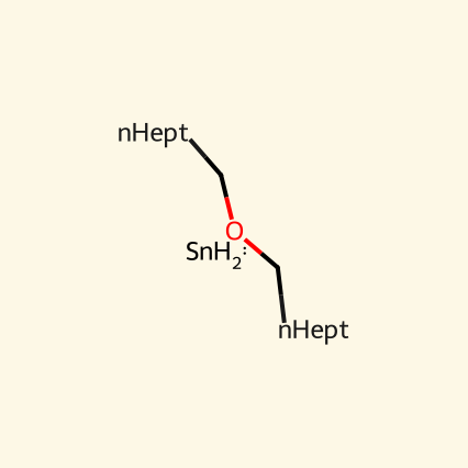 CCCCCCCCOCCCCCCCC.[SnH2]